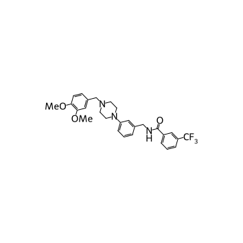 COc1ccc(CN2CCN(c3cccc(CNC(=O)c4cccc(C(F)(F)F)c4)c3)CC2)cc1OC